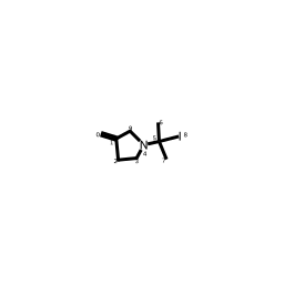 C=C1CCN(C(C)(C)I)C1